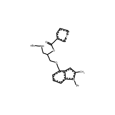 CCCCNCC(COc1cccc2c1cc(C)n2C(C)C)OC(=O)c1ccccc1